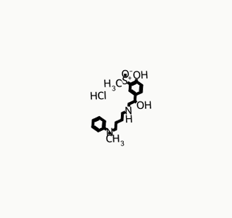 CN(CCCCNCC(O)c1ccc(O)c([S+](C)[O-])c1)c1ccccc1.Cl